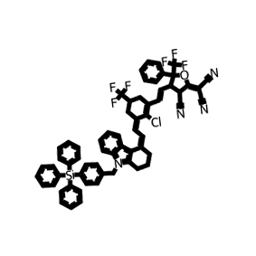 N#CC(C#N)=C1OC(c2ccccc2)(C(F)(F)F)C(/C=C/C2=C(Cl)C(=C\C=C3\CCCc4c3c3ccccc3n4Cc3ccc([Si](c4ccccc4)(c4ccccc4)c4ccccc4)cc3)/CC(C(F)(F)F)C2)C1C#N